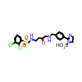 O=C(CCNCS(=O)(=O)c1cccc(Cl)c1Cl)CNCc1ccc(C2=NCCN2C(=O)O)cc1